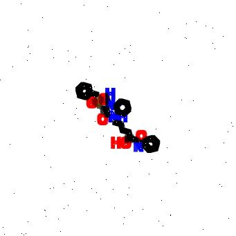 O=C(NCCCC[C@H](O)c1nc2ccccc2o1)[C@H](CS(=O)(=O)Cc1ccccc1)NC1CCCCC1